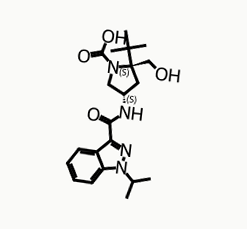 CC(C)n1nc(C(=O)N[C@@H]2CN(C(=O)O)[C@](CO)(C(C)(C)C)C2)c2ccccc21